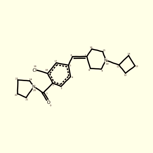 O=C(c1ccc(C=C2CCN(C3CCC3)CC2)cc1Cl)N1CCCC1